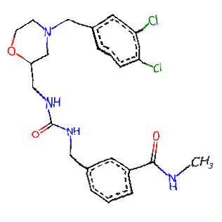 CNC(=O)c1cccc(CNC(=O)NCC2CN(Cc3ccc(Cl)c(Cl)c3)CCO2)c1